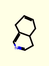 C1=CCC2CC=[N+]C=C2C1